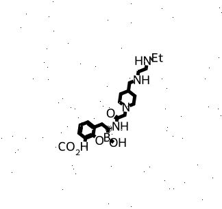 CCNCCNCC1CCN(CC(=O)N[C@H]2Cc3cccc(C(=O)O)c3OB2O)CC1